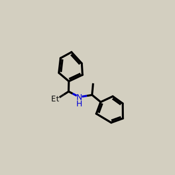 CCC(NC(C)c1ccccc1)c1ccccc1